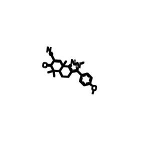 COc1ccc(-c2c3c(nn2C)C2(C)C=C(C#N)C(=O)C(C)(C)C2CC3)cc1